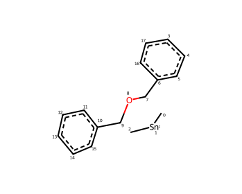 [CH3][Sn][CH3].c1ccc(COCc2ccccc2)cc1